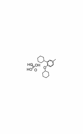 Cc1ccc(OC2CCCCC2)c(C2CCCCC2)c1.O=P(O)(O)O